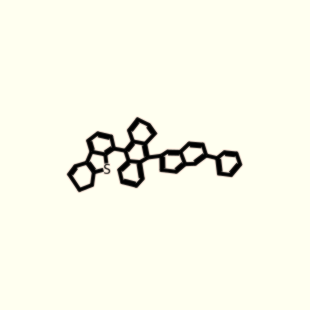 C1=Cc2c(sc3c(-c4c5ccccc5c(-c5ccc6cc(-c7ccccc7)ccc6c5)c5ccccc45)cccc23)CC1